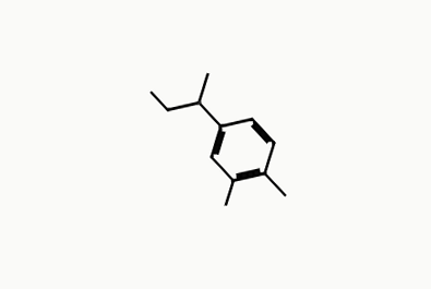 C[C](CF)c1ccc(C)c(Cl)c1